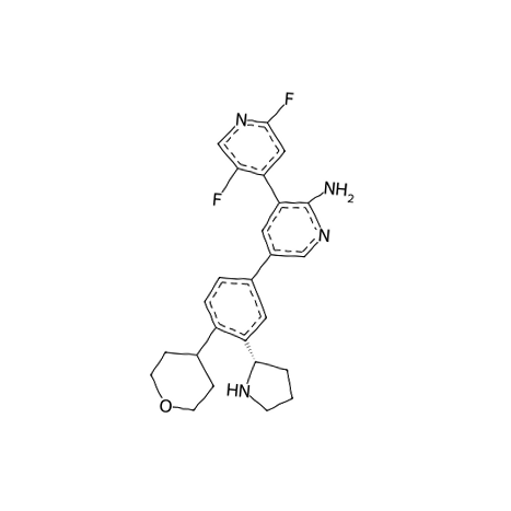 Nc1ncc(-c2ccc(C3CCOCC3)c([C@@H]3CCCN3)c2)cc1-c1cc(F)ncc1F